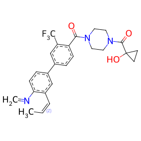 C=Nc1ccc(-c2ccc(C(=O)N3CCN(C(=O)C4(O)CC4)CC3)c(C(F)(F)F)c2)cc1/C=C\C